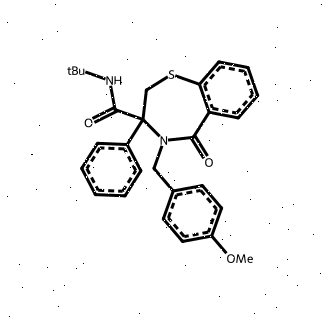 COc1ccc(CN2C(=O)c3ccccc3SCC2(C(=O)NC(C)(C)C)c2ccccc2)cc1